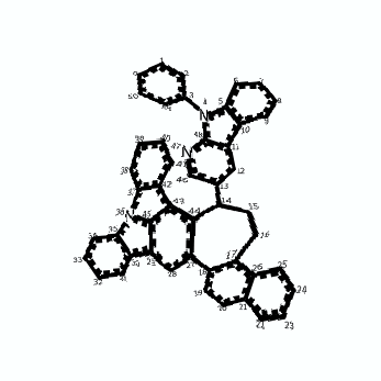 c1ccc(-n2c3ccccc3c3cc(C4CCc5c(ccc6ccccc56)-c5cc6c7ccccc7n7c8ccccc8c(c54)c67)cnc32)cc1